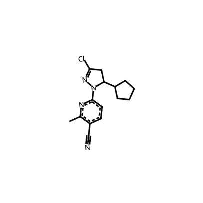 Cc1nc(N2N=C(Cl)CC2C2CCCC2)ccc1C#N